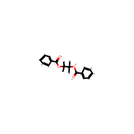 CC(C)(OC(=O)c1ccccc1)C(C)(C)OC(=O)c1ccccc1